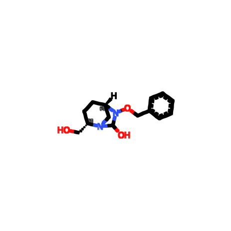 OC[C@@H]1CC[C@H]2CN1C(O)N2OCc1ccccc1